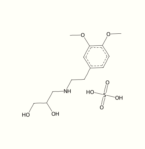 COc1ccc(CCNCC(O)CO)cc1OC.O=S(=O)(O)O